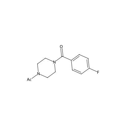 CC(=O)N1CCN(C(=O)c2ccc(F)cc2)CC1